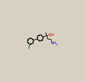 CC(O)(CCN)c1ccc(-c2cccc(F)c2)cc1